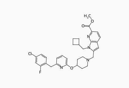 COC(=O)c1ccc2cc(CN3CCC(Oc4cccc(Cc5ccc(Cl)cc5F)n4)CC3)n(CC3CCC3)c2n1